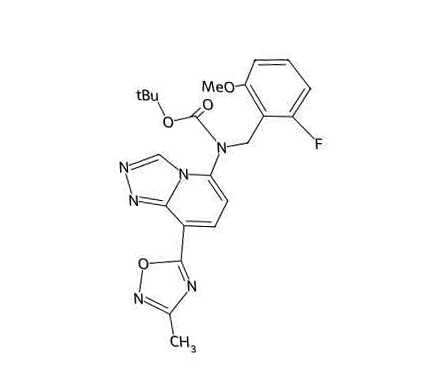 COc1cccc(F)c1CN(C(=O)OC(C)(C)C)c1ccc(-c2nc(C)no2)c2nncn12